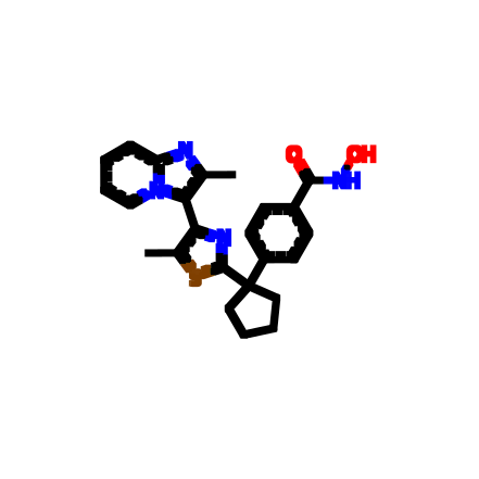 Cc1nc2ccccn2c1-c1nc(C2(c3ccc(C(=O)NO)cc3)CCCC2)sc1C